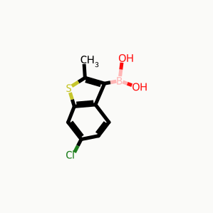 Cc1sc2cc(Cl)ccc2c1B(O)O